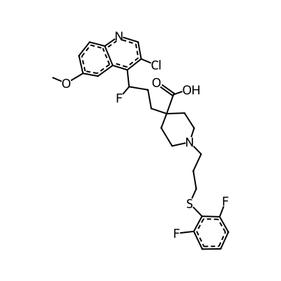 COc1ccc2ncc(Cl)c(C(F)CCC3(C(=O)O)CCN(CCCSc4c(F)cccc4F)CC3)c2c1